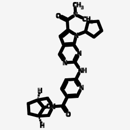 CN(C)C(=O)c1cc2cnc(Nc3ccc(C(=O)N4C[C@H]5CC[C@@H](C4)C5O)cn3)nc2n1C1CCCC1